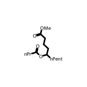 CCCCCC(CCCC(=O)OC)OC(=O)CCC